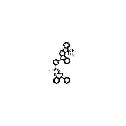 CC1(C)c2ccccc2-c2ccc3c(c21)c1ccccc1n3-c1cccc(C(=N)/N=c2/nc(-c3ccccc3)c3ccccc3[nH]2)c1